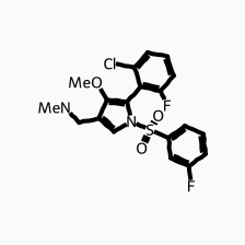 CNCc1cn(S(=O)(=O)c2cccc(F)c2)c(-c2c(F)cccc2Cl)c1OC